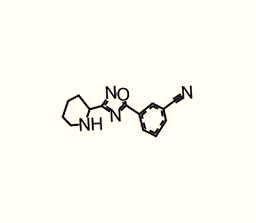 N#Cc1cccc(-c2nc(C3CCCCN3)no2)c1